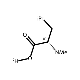 [2H]OC(=O)[C@H](CC(C)C)NC